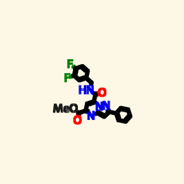 COC(=O)c1cc(C(=O)NCc2ccc(F)c(F)c2)n2nc(-c3ccccc3)cc2n1